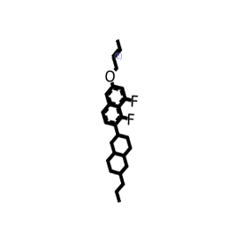 C/C=C/COc1cc(F)c2c(F)c(C3CCC4CC(CCC)CCC4C3)ccc2c1